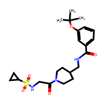 CC(C)(C)Oc1cccc(C(=O)NCC2CCN(C(=O)CNS(=O)(=O)C3CC3)CC2)c1